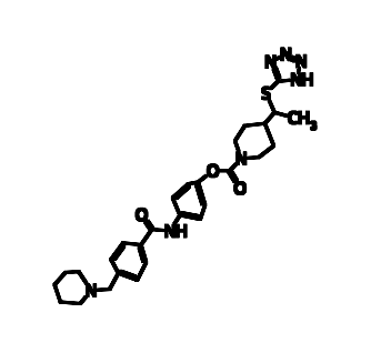 CC(Sc1nnn[nH]1)C1CCN(C(=O)Oc2ccc(NC(=O)c3ccc(CN4CCCCC4)cc3)cc2)CC1